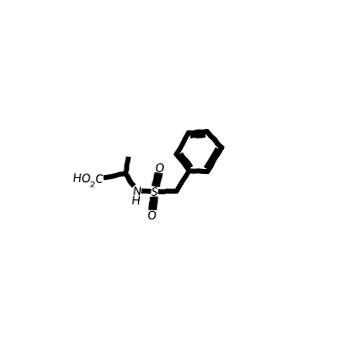 CC(NS(=O)(=O)Cc1ccccc1)C(=O)O